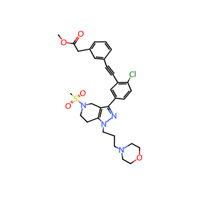 COC(=O)Cc1cccc(C#Cc2cc(-c3nn(CCCN4CCOCC4)c4c3CN(S(C)(=O)=O)CC4)ccc2Cl)c1